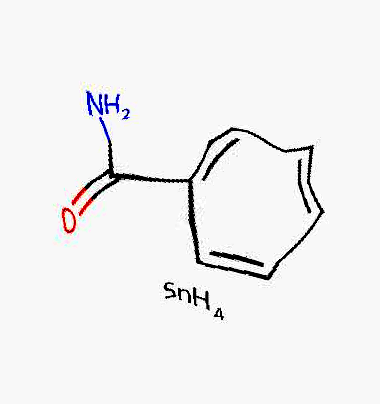 NC(=O)c1ccccc1.[SnH4]